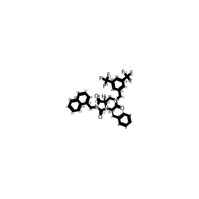 O=C1[C@@H](Cc2ccccc2)N2C(=O)N(Cc3cccc4ccccc34)C(=O)[C@@H]2CN1Cc1cc(C(F)(F)F)cc(C(F)(F)F)c1